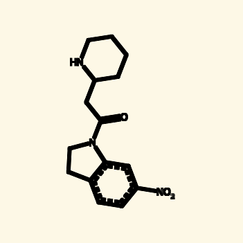 O=C(CC1CCCCN1)N1CCc2ccc([N+](=O)[O-])cc21